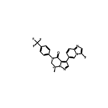 C[C@H]1CN(c2ccc(C(F)(F)F)cc2)C(=O)c2c(-c3ccc4ncc(F)n4c3)cnn21